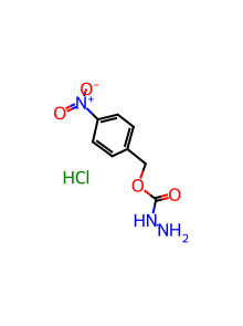 Cl.NNC(=O)OCc1ccc([N+](=O)[O-])cc1